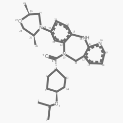 CC(C)O[C@H]1CC[C@H](C(=O)N2Cc3cccnc3Nc3ccc(N4C[C@H](C)OC[C@@H]4C)cc32)CC1